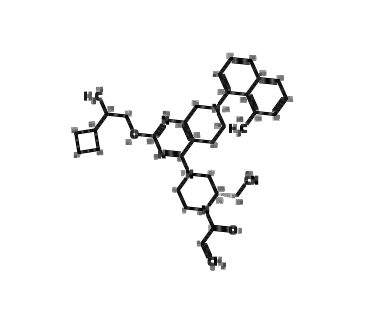 C=CC(=O)N1CCN(c2nc(OCC(C)C3CCC3)nc3c2CCN(c2cccc4cccc(C)c24)C3)C[C@@H]1CC#N